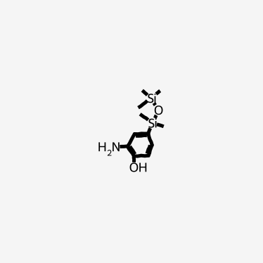 C[Si](C)(C)O[Si](C)(C)c1ccc(O)c(N)c1